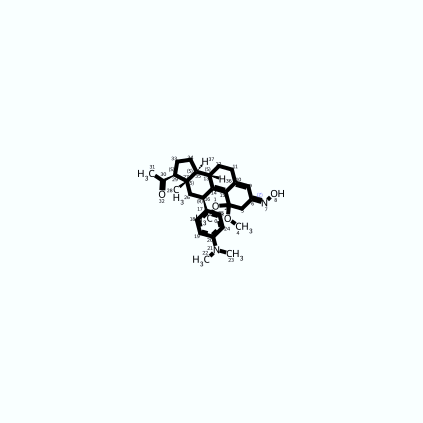 COC1(OC)C/C(=N/O)C=C2CC[C@@H]3C(=C21)[C@@H](c1ccc(N(C)C)cc1)C[C@]1(C)[C@@H](C(C)=O)CC[C@@H]31